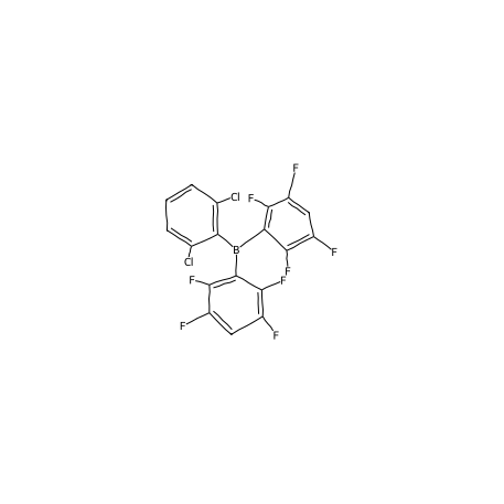 Fc1cc(F)c(F)c(B(c2c(Cl)cccc2Cl)c2c(F)c(F)cc(F)c2F)c1F